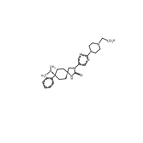 CN(C)[C@]1(c2ccccc2)CC[C@@]2(CC1)CN(c1cnc(N3CCN(CC(=O)O)CC3)nc1)C(=O)N2